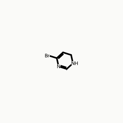 BrC1=CCN[C]=N1